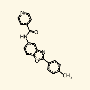 Cc1ccc(-c2nc3cc(NC(=O)c4ccncc4)ccc3o2)cc1